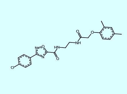 Cc1ccc(OCC(=O)NCCNC(=O)c2nc(-c3ccc(Cl)cc3)no2)c(C)c1